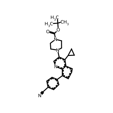 CC(C)(C)OC(=O)N1CCN(c2cnc3c(-c4ccc(C#N)cc4)cccc3c2C2CC2)CC1